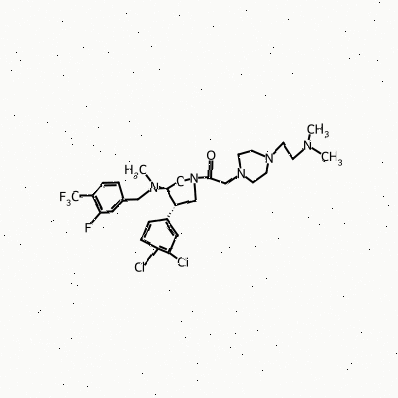 CN(C)CCN1CCN(CC(=O)N2C[C@H](c3ccc(Cl)c(Cl)c3)[C@@H](N(C)Cc3ccc(C(F)(F)F)c(F)c3)C2)CC1